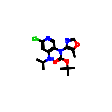 Cc1ocnc1N(C(=O)OC(C)(C)C)c1cnc(Cl)cc1NC(C)C